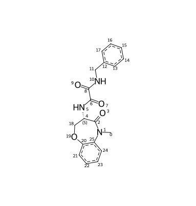 CN1C(=O)[C@@H](NC(=O)C(=O)NCc2ccccc2)COc2ccccc21